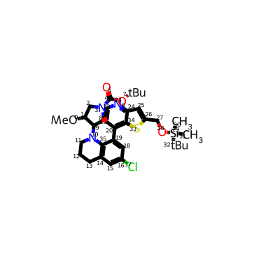 COC1CN(C(=O)OC(C)(C)C)CC1N1CCCc2cc(Cl)cc(-c3ccnc4cc(CO[Si](C)(C)C(C)(C)C)sc34)c21